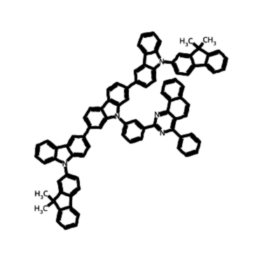 CC1(C)c2ccccc2-c2ccc(-n3c4ccccc4c4cc(-c5ccc6c7ccc(-c8ccc9c(c8)c8ccccc8n9-c8ccc9c(c8)C(C)(C)c8ccccc8-9)cc7n(-c7cccc(-c8nc(-c9ccccc9)c9ccc%10ccccc%10c9n8)c7)c6c5)ccc43)cc21